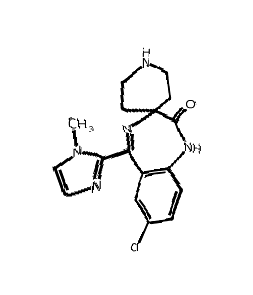 Cn1ccnc1C1=NC2(CCNCC2)C(=O)Nc2ccc(Cl)cc21